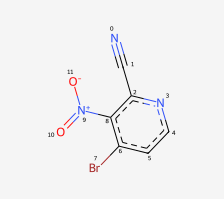 N#Cc1nccc(Br)c1[N+](=O)[O-]